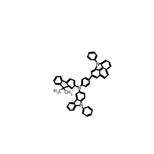 CC1(C)c2ccccc2-c2ccc(N(c3ccc(-c4cc5ccc6cccc7c6c5c(c4)n7-c4ccccc4)cc3)c3ccc4c(c3)c3ccccc3n4-c3ccccc3)cc21